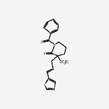 CCOC(=O)C1(CC=Cc2cccs2)CCCN(C(=O)c2ccccc2)C1=O